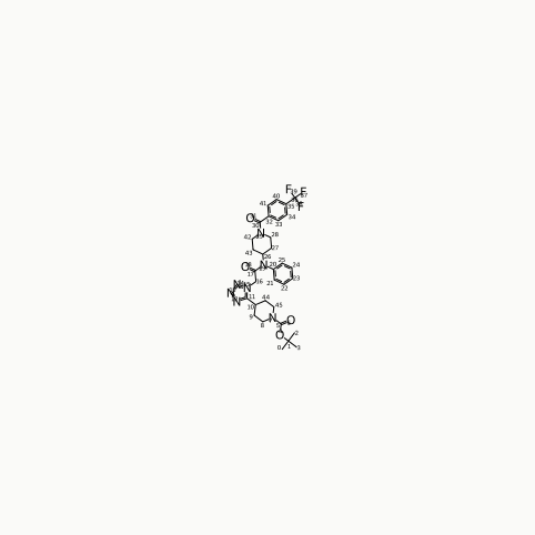 CC(C)(C)OC(=O)N1CCC(c2nnnn2CC(=O)N(c2ccccc2)C2CCN(C(=O)c3ccc(C(F)(F)F)cc3)CC2)CC1